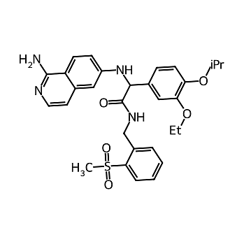 CCOc1cc(C(Nc2ccc3c(N)nccc3c2)C(=O)NCc2ccccc2S(C)(=O)=O)ccc1OC(C)C